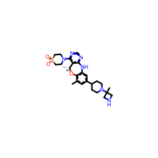 Cc1cc(C2CCN(C3(C)CNC3)CC2)cc2c1O[C@H](C)c1c(ncnc1N1CCS(=O)(=O)CC1)N2